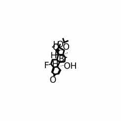 COC(=S)[C@@]12OC(C)(C)O[C@@H]1C[C@H]1[C@@H]3C[C@H](F)C4=CC(=O)C=C[C@]4(C)[C@@]3(Br)C(O)C[C@@]12C